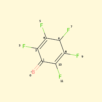 [B]=C1C(F)=C(F)C(F)C(F)=C1F